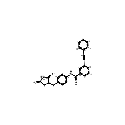 O=C1CC(Cc2ccc(NC(=O)c3cccc(C#Cc4ncccn4)c3)cc2)C(=O)N1